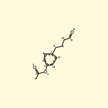 CC(=O)Oc1ccc(CCCC=O)cc1